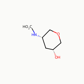 O=C(O)N[C@@H]1COC[C@H](O)C1